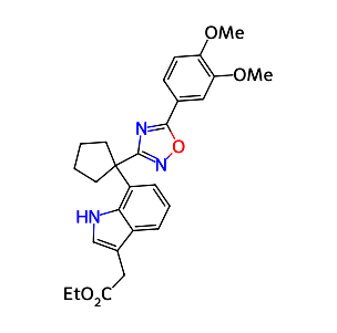 CCOC(=O)Cc1c[nH]c2c(C3(c4noc(-c5ccc(OC)c(OC)c5)n4)CCCC3)cccc12